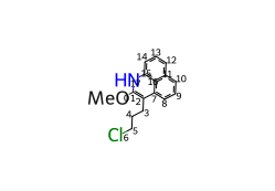 COC1=C(CCCCl)c2cccc3cccc(c23)N1